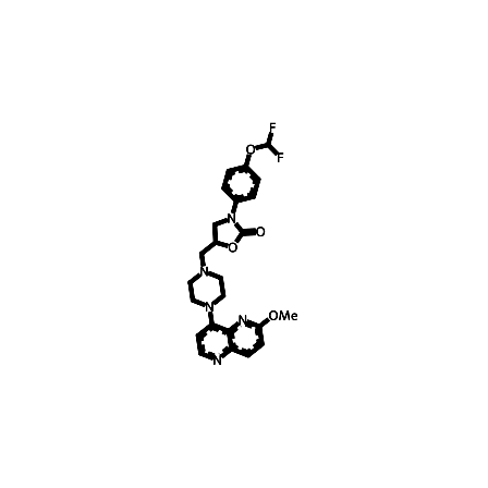 COc1ccc2nccc(N3CCN(CC4CN(c5ccc(OC(F)F)cc5)C(=O)O4)CC3)c2n1